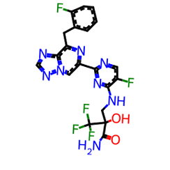 NC(=O)C(O)(CNc1nc(-c2cn3ncnc3c(Cc3ccccc3F)n2)ncc1F)C(F)(F)F